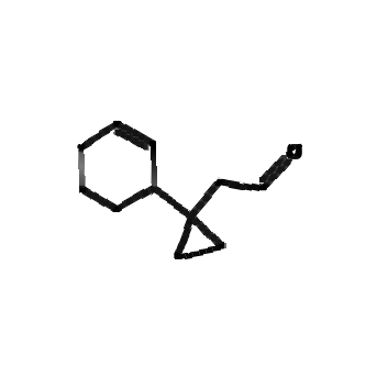 O=CCC1(C2C=CCCC2)CC1